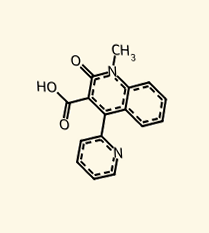 Cn1c(=O)c(C(=O)O)c(-c2ccccn2)c2ccccc21